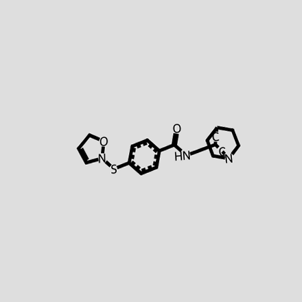 O=C(NC1CC2CCN(CC2)C1)c1ccc(SN2C=CCO2)cc1